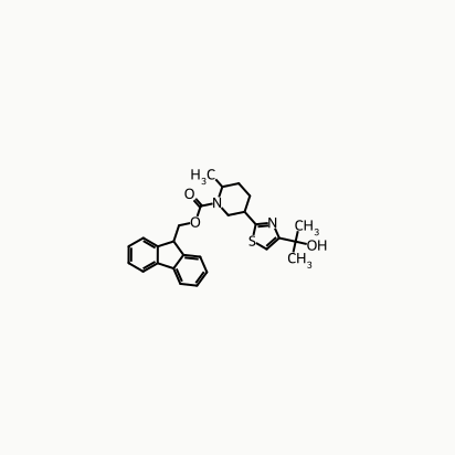 CC1CCC(c2nc(C(C)(C)O)cs2)CN1C(=O)OCC1c2ccccc2-c2ccccc21